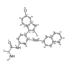 CNC(C)C(=O)Nc1ccc(-c2c(C)nc3cc(Cl)ccn23)c(C#Cc2ccc3ncccc3c2)n1